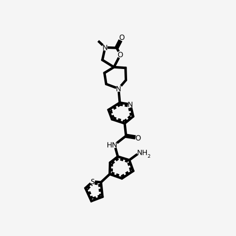 CN1CC2(CCN(c3ccc(C(=O)Nc4cc(-c5cccs5)ccc4N)cn3)CC2)OC1=O